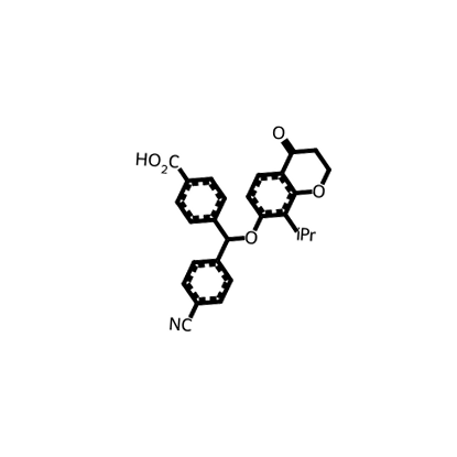 CC(C)c1c(OC(c2ccc(C#N)cc2)c2ccc(C(=O)O)cc2)ccc2c1OCCC2=O